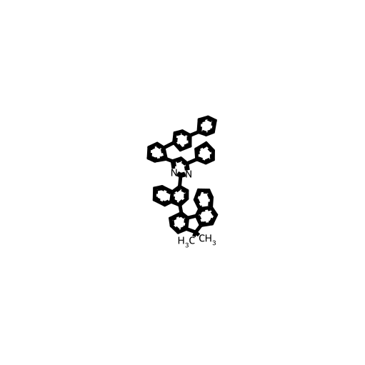 CC1(C)c2cccc(-c3ccc(-c4nc(-c5ccccc5)cc(-c5ccccc5-c5ccc(-c6ccccc6)cc5)n4)c4ccccc34)c2-c2c1ccc1ccccc21